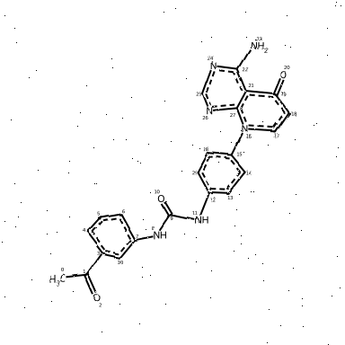 CC(=O)c1cccc(NC(=O)Nc2ccc(-n3ccc(=O)c4c(N)ncnc43)cc2)c1